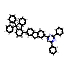 c1ccc(-c2nc(-c3ccccc3)nc(-c3ccc4c(c3)Cc3cc(-c5cccc6c5-c5ccccc5C6(c5ccccc5)c5ccccc5)ccc3-4)n2)cc1